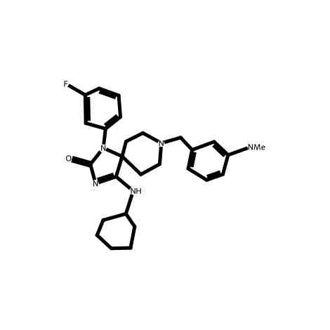 CNc1cccc(CN2CCC3(CC2)C(NC2CCCCC2)=NC(=O)N3c2cccc(F)c2)c1